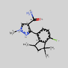 CC1CC(C)(C)c2c(F)ccc(-c3nn(C)cc3C(N)=O)c21